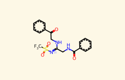 O=C(CN/C(CNC(=O)c1ccccc1)=N\S(=O)(=O)C(F)(F)F)c1ccccc1